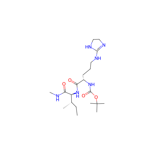 CC[C@H](C)[C@H](NC(=O)[C@H](CCCNC1=NCCN1)NC(=O)OC(C)(C)C)C(=O)NC